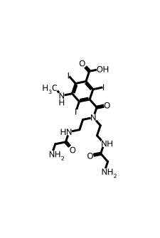 CNc1c(I)c(C(=O)O)c(I)c(C(=O)N(CCNC(=O)CN)CCNC(=O)CN)c1I